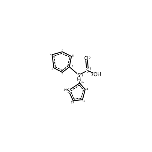 O=S(O)[SH](c1ccccc1)c1cccs1